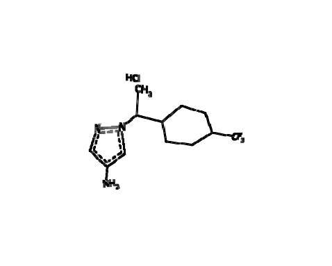 CC(C1CCC(C(F)(F)F)CC1)n1cc(N)cn1.Cl